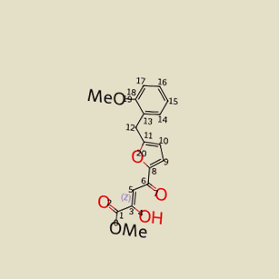 COC(=O)/C(O)=C/C(=O)c1ccc(Cc2ccccc2OC)o1